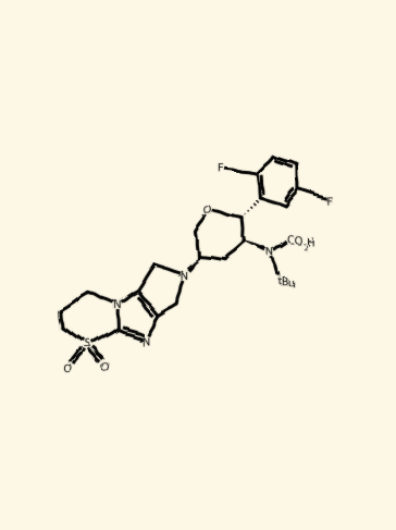 CC(C)(C)N(C(=O)O)[C@H]1C[C@@H](N2Cc3nc4n(c3C2)CCCS4(=O)=O)CO[C@@H]1c1cc(F)ccc1F